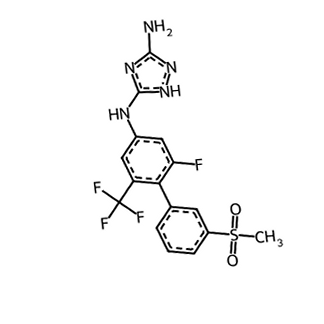 CS(=O)(=O)c1cccc(-c2c(F)cc(Nc3nc(N)n[nH]3)cc2C(F)(F)F)c1